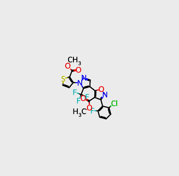 COC(=O)c1sccc1-n1ncc(-c2onc(-c3c(F)cccc3Cl)c2C(=O)OC)c1C(F)(F)F